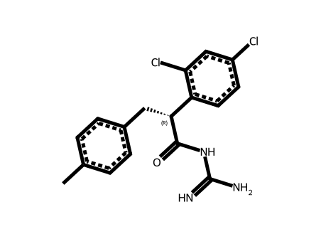 Cc1ccc(C[C@@H](C(=O)NC(=N)N)c2ccc(Cl)cc2Cl)cc1